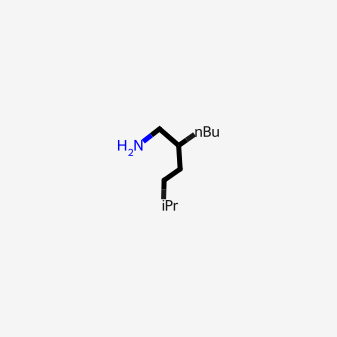 CCCCC(CN)CCC(C)C